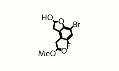 COC(=O)Cc1c(F)cc(Br)c2c1CC(O)O2